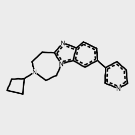 c1cncc(-c2ccc3nc4n(c3c2)CCN(C2CCC2)CC4)c1